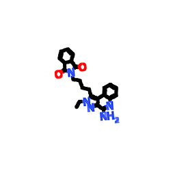 CCn1nc2c(N)nc3ccccc3c2c1CCCCN1C(=O)C2C=CC=CC2C1=O